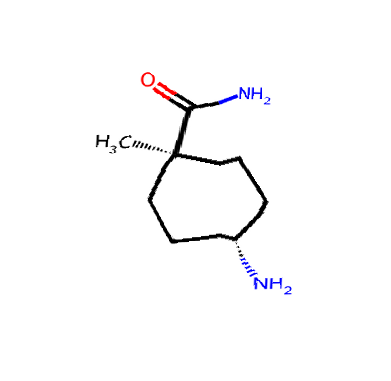 C[C@]1(C(N)=O)CC[C@H](N)CC1